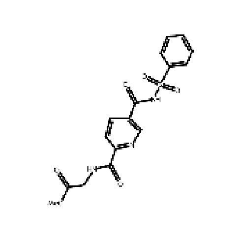 COC(=O)CNC(=O)c1ccc(C(=O)NS(=O)(=O)c2ccccc2)cn1